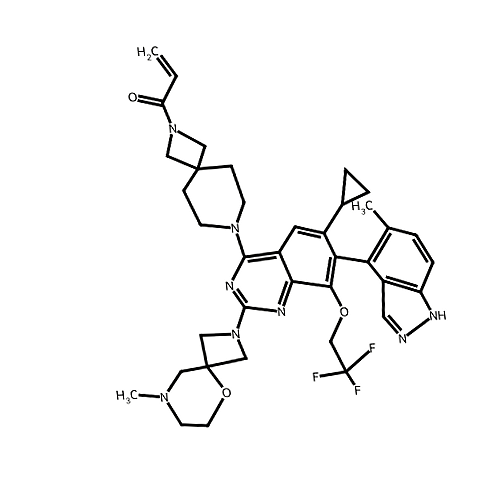 C=CC(=O)N1CC2(CCN(c3nc(N4CC5(CN(C)CCO5)C4)nc4c(OCC(F)(F)F)c(-c5c(C)ccc6[nH]ncc56)c(C5CC5)cc34)CC2)C1